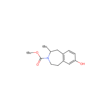 CC(C)(C)OC(=O)N1CCc2cc(O)ccc2CC1C(C)(C)C